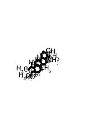 CCCC1[C@H]2CC[C@@H]3[C@@]4(C)CC[C@H](O)C(C)(C)[C@@H]4CC[C@@]3(C)[C@]2(C)CC[C@@]1(CO)CCC